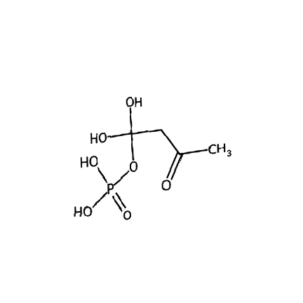 CC(=O)CC(O)(O)OP(=O)(O)O